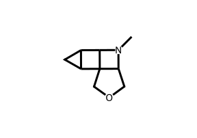 CN1C2COCC23C2CC2C13